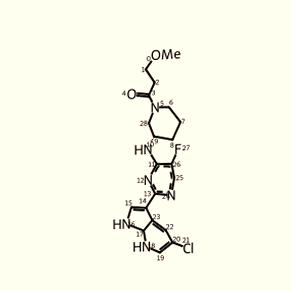 COCCC(=O)N1CCC[C@H](Nc2nc(C3=CNC4NC=C(Cl)C=C34)ncc2F)C1